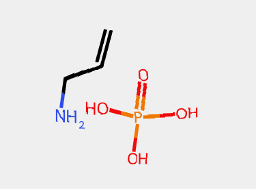 C=CCN.O=P(O)(O)O